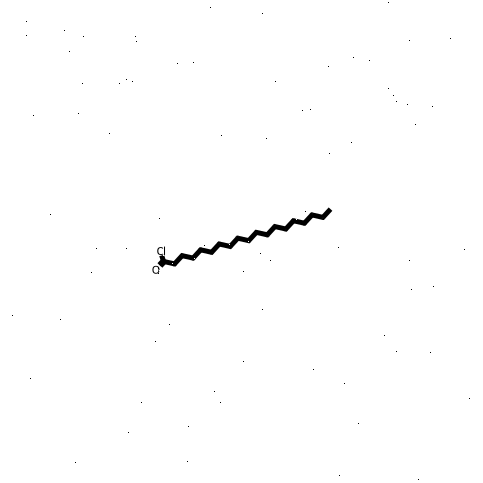 CCCCCCCCCCCCCCCCCCC(=O)Cl